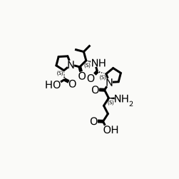 CC(C)[C@H](NC(=O)[C@@H]1CCCN1C(=O)[C@@H](N)CCC(=O)O)C(=O)N1CCC[C@H]1C(=O)O